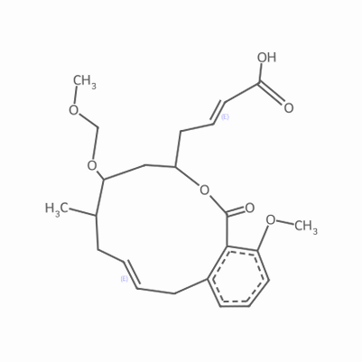 COCOC1CC(C/C=C/C(=O)O)OC(=O)c2c(cccc2OC)C/C=C/CC1C